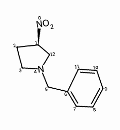 O=[N+]([O-])[C@@H]1CCN(Cc2ccccc2)C1